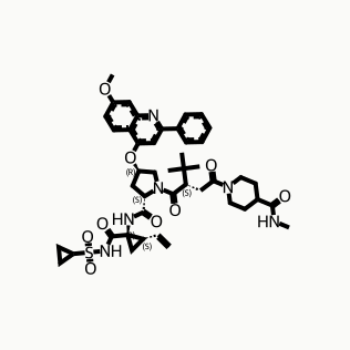 C=C[C@@H]1C[C@]1(NC(=O)[C@@H]1C[C@@H](Oc2cc(-c3ccccc3)nc3cc(OC)ccc23)CN1C(=O)[C@@H](CC(=O)N1CCC(C(=O)NC)CC1)C(C)(C)C)C(=O)NS(=O)(=O)C1CC1